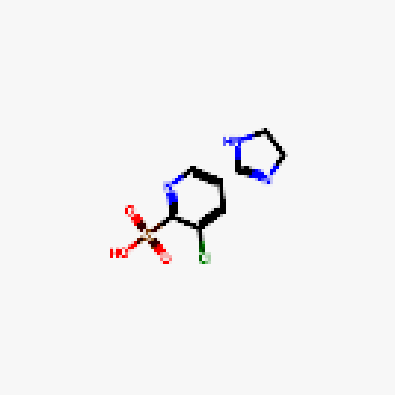 C1=NCCN1.O=S(=O)(O)c1ncccc1Cl